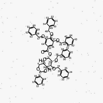 O=C(O[C@H]1O[C@@H]2CO[C@@H](c3ccccc3)O[C@H]2[C@H](OCc2ccccc2)[C@H]1OCc1ccccc1)c1cc(OCc2ccccc2)c(OCc2ccccc2)c(OCc2ccccc2)c1